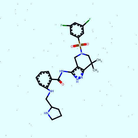 CC1(C)CN(S(=O)(=O)c2cc(F)cc(F)c2)Cc2c1n[nH]c2NC(=O)c1ccccc1NCC1CCCN1